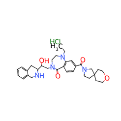 CCN1CCN(CC(O)C2Cc3ccccc3CN2)C(=O)c2ccc(C(=O)N3CCC4(CCOCC4)C3)cc21.Cl